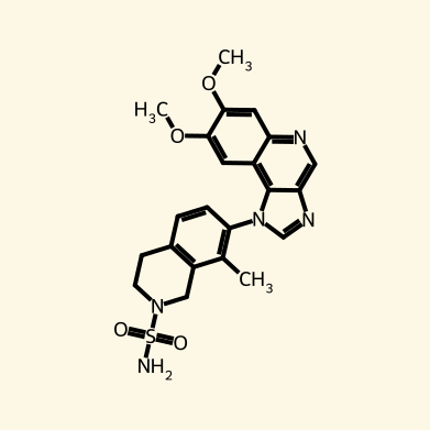 COc1cc2ncc3ncn(-c4ccc5c(c4C)CN(S(N)(=O)=O)CC5)c3c2cc1OC